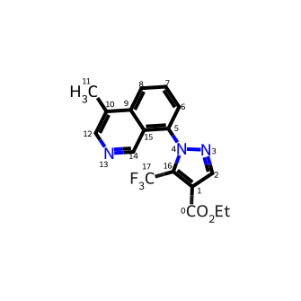 CCOC(=O)c1cnn(-c2cccc3c(C)cncc23)c1C(F)(F)F